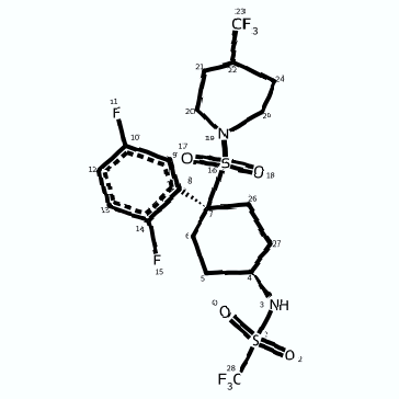 O=S(=O)(N[C@H]1CC[C@@](c2cc(F)ccc2F)(S(=O)(=O)N2CCC(C(F)(F)F)CC2)CC1)C(F)(F)F